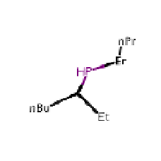 CCCCC(CC)[PH][Er][CH2]CC